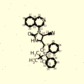 CC(C)(C)[Si](OCC1NC(=O)N(c2cncc3ccccc23)C1C#N)(c1ccccc1)c1ccccc1